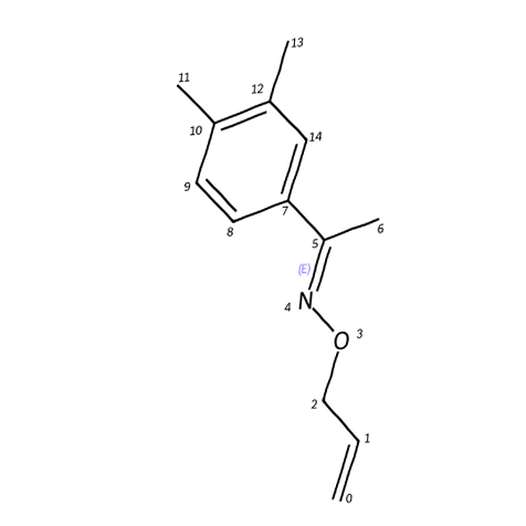 C=CCO/N=C(\C)c1ccc(C)c(C)c1